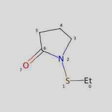 CCSN1CCCC1=O